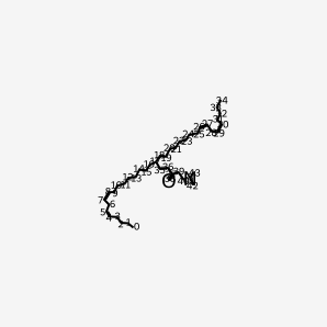 CCCC/C=C\C/C=C\CCCCCCCCC(CCCCCCCC/C=C\C/C=C\CCCC)CCC(=O)CCN(C)C